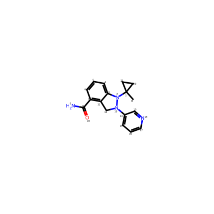 CC1(N2c3cccc(C(N)=O)c3CN2c2cccnc2)CC1